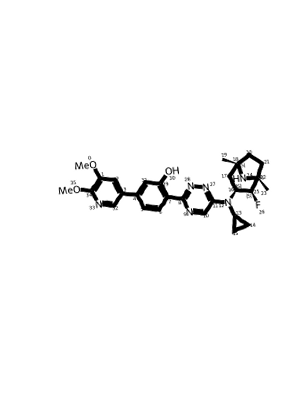 COc1cc(-c2ccc(-c3ncc(N(C4CC4)[C@H]4C[C@]5(C)CC[C@@](C)(N5)[C@H]4F)nn3)c(O)c2)cnc1OC